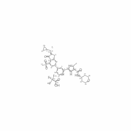 Cc1nc(-c2cc(-c3cc4c(c(S(C)(=O)=O)c3)C(=O)N([C@@H](C)C3CC3)C4)ccn2)[nH]c1C(=O)NC1CCOCC1.O=C(O)C(F)(F)F